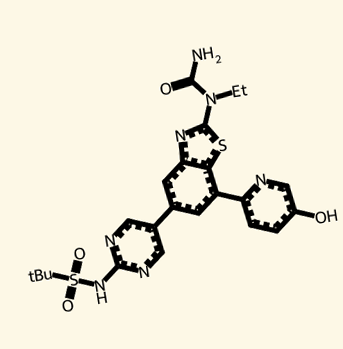 CCN(C(N)=O)c1nc2cc(-c3cnc(NS(=O)(=O)C(C)(C)C)nc3)cc(-c3ccc(O)cn3)c2s1